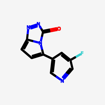 O=C1N=Nc2ccc(-c3cncc(F)c3)n21